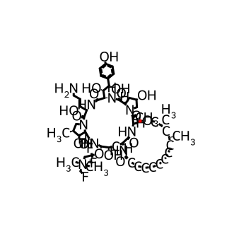 C[C@@H]1CCCCCCCCC(=O)N[C@H]2C[C@@H](O)[C@@H](OC(F)(F)C[N+](C)(C)CF)NC(=O)[C@@H]3[C@@H](O)[C@@H](C)CN3C(=O)[C@H]([C@H](O)CCN)NC(=O)[C@H]([C@H](O)[C@@H](O)c3ccc(O)cc3)NC(=O)[C@@H]3C[C@@H](O)CN3C(=O)[C@@H](NC2=O)[C@@H](C)OC[C@H](C)C1